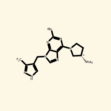 CC(=O)N[C@H]1CCN(c2nc(C(C)(C)C)nc3c2ncn3Cc2c[nH]nc2C(F)(F)F)C1